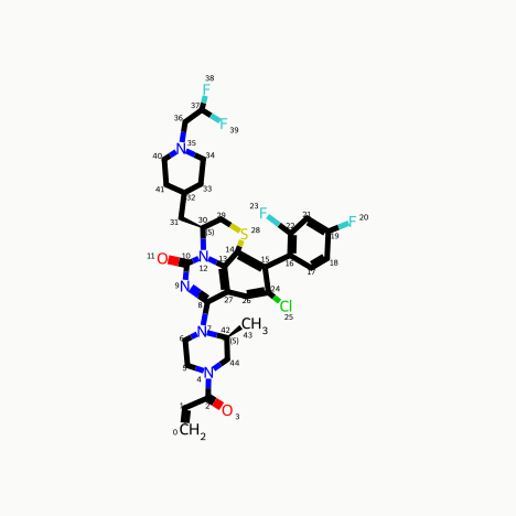 C=CC(=O)N1CCN(c2nc(=O)n3c4c(c(-c5ccc(F)cc5F)c(Cl)cc24)SC[C@@H]3CC2CCN(CC(F)F)CC2)[C@@H](C)C1